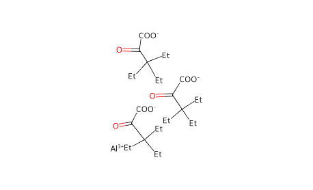 CCC(CC)(CC)C(=O)C(=O)[O-].CCC(CC)(CC)C(=O)C(=O)[O-].CCC(CC)(CC)C(=O)C(=O)[O-].[Al+3]